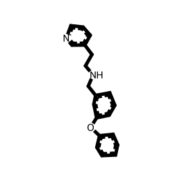 c1ccc(Oc2cccc(CNCCc3cccnc3)c2)cc1